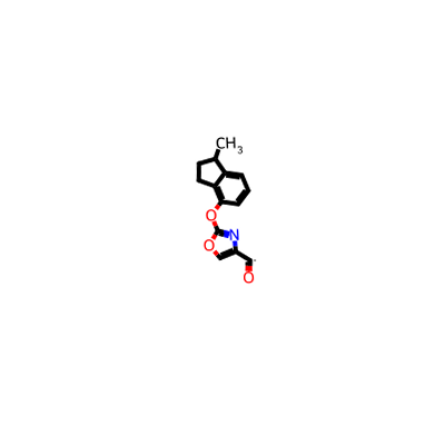 CC1CCc2c(Oc3nc([C]=O)co3)cccc21